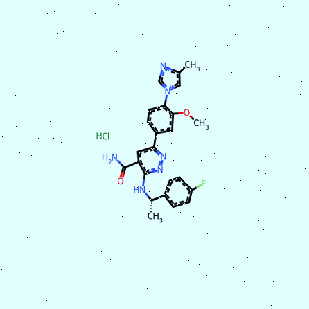 COc1cc(-c2cc(C(N)=O)c(N[C@@H](C)c3ccc(F)cc3)nn2)ccc1-n1cnc(C)c1.Cl